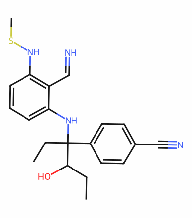 CCC(O)C(CC)(Nc1cccc(NSC)c1C=N)c1ccc(C#N)cc1